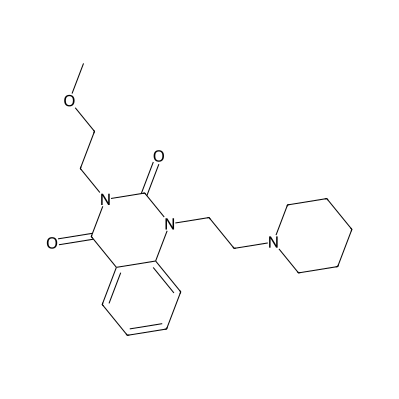 COCCn1c(=O)c2ccccc2n(CCN2CCCCC2)c1=O